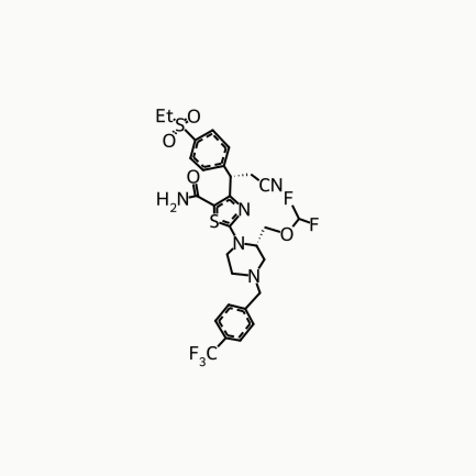 CCS(=O)(=O)c1ccc([C@H](CC#N)c2nc(N3CCN(Cc4ccc(C(F)(F)F)cc4)C[C@H]3COC(F)F)sc2C(N)=O)cc1